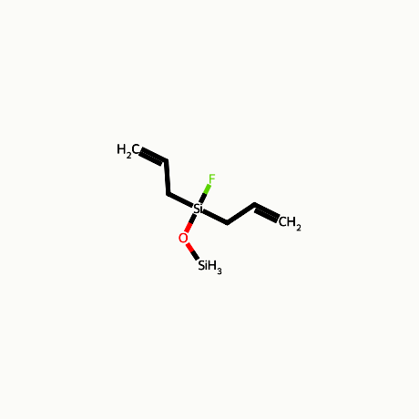 C=CC[Si](F)(CC=C)O[SiH3]